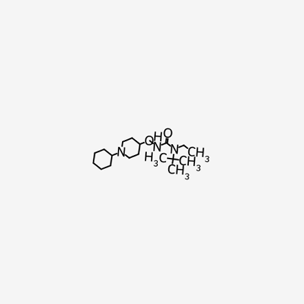 CCN(C(=O)NOC1CCN(C2CCCCC2)CC1)C(C)(C)C